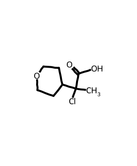 CC(Cl)(C(=O)O)C1CCOCC1